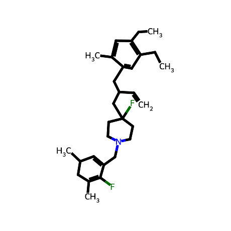 C=CC(Cc1cc(CC)c(CC)cc1C)CC1(F)CCN(CC2=CC(C)CC(C)=C2F)CC1